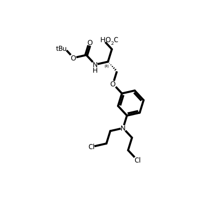 CC(C)(C)OC(=O)N[C@@H](COc1cccc(N(CCCl)CCCl)c1)CC(=O)O